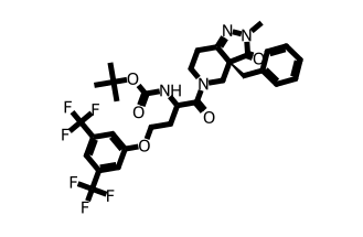 CN1N=C2CCN(C(=O)C(CCOc3cc(C(F)(F)F)cc(C(F)(F)F)c3)NC(=O)OC(C)(C)C)C[C@@]2(Cc2ccccc2)C1=O